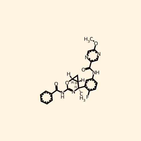 COc1cnc(C(=O)Nc2ccc(F)c([C@@]3(C)N=C(NC(=O)c4ccccc4)O[C@@H]4C[C@@H]43)c2)cn1